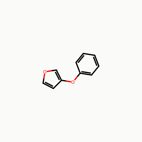 [c]1occc1Oc1ccccc1